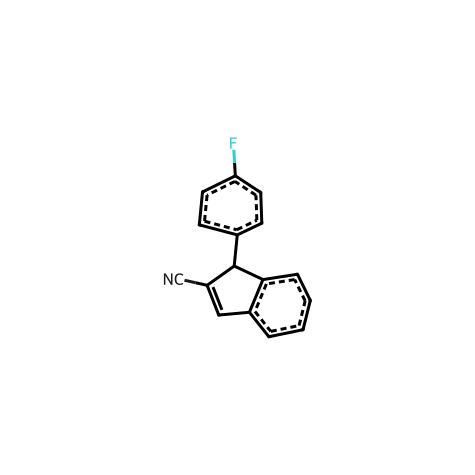 N#CC1=Cc2ccccc2C1c1ccc(F)cc1